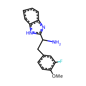 COc1ccc(CC(N)c2nc3ccccc3[nH]2)cc1F